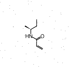 C=CC(=O)N[C@@H](C)CC